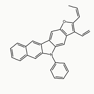 C=Cc1c(/C=C\C)oc2cc3c4cc5ccccc5cc4n(-c4ccccc4)c3cc12